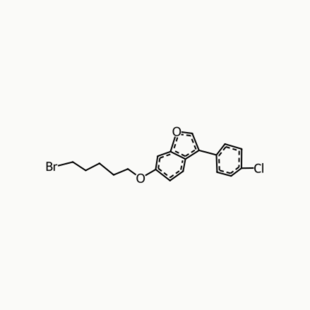 Clc1ccc(-c2coc3cc(OCCCCCBr)ccc23)cc1